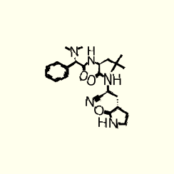 CN(C)[C@H](C(=O)N[C@@H](CC(C)(C)C)C(=O)N[C@H](C#N)C[C@@H]1CCNC1=O)c1ccccc1